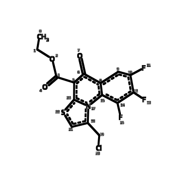 CCOC(=O)c1c(=O)c2cc(F)c(F)c(F)c2n2c(CCl)csc12